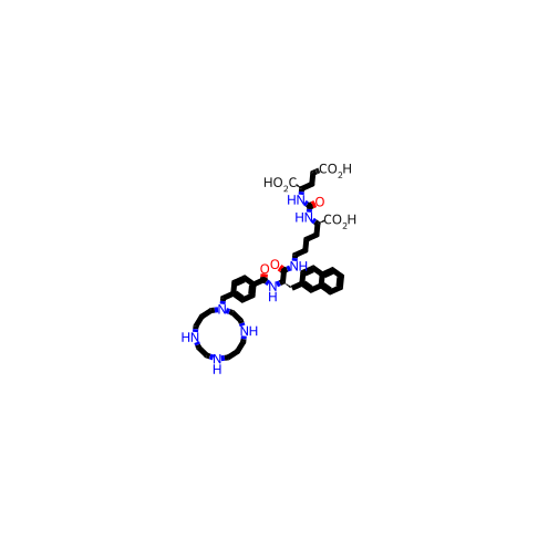 O=C(O)CC[C@H](NC(=O)N[C@@H](CCCCNC(=O)[C@H](Cc1ccc2ccccc2c1)NC(=O)c1ccc(CN2CCCNCCNCCCNCC2)cc1)C(=O)O)C(=O)O